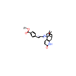 C/C=C1\C2C=C(C)CC1(/N=C/C=C/c1ccc(C(=O)OC(C)C)cc1)c1ccc(=O)[nH]c1C2